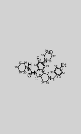 CCc1ccc(CN2CCC(CN(C(=O)NC3CCCCC3)c3ccc(N4CCOCC4)c(F)c3)CC2)cc1